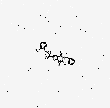 COc1ccccc1COC(=O)c1cc2c(=O)n(Cc3ccccc3)c(=O)n(C)c2s1